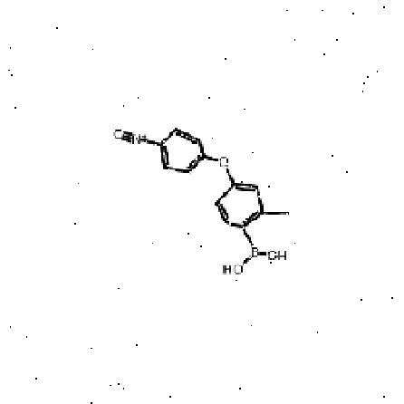 [C-]#[N+]c1ccc(Oc2ccc(B(O)O)c(C)c2)cc1